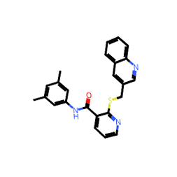 Cc1cc(C)cc(NC(=O)c2cccnc2SCc2cnc3ccccc3c2)c1